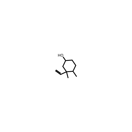 C=CC1(C)CC(O)CCC1C